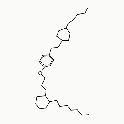 CCCCCCCC1CCCCC1CCCOc1ccc(CCC2CCC(CCCCC)CC2)cc1